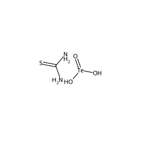 NC(N)=S.O=[Te](O)O